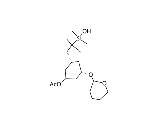 CC(=O)OC1C[C@H](CC(C)(C)[Si](C)(C)O)C[C@H](OC2CCCCO2)C1